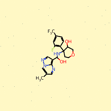 Cc1cnc2c(C(O)NC3(c4ccc(C(F)(F)F)cc4F)CCOCC3O)cnn2c1